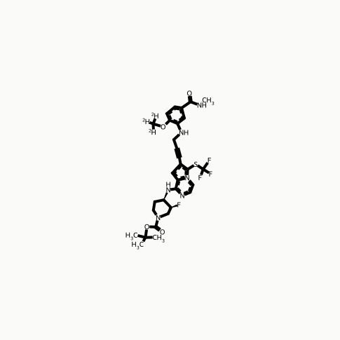 [2H]C([2H])([2H])Oc1ccc(C(=O)NC)cc1NCC#Cc1cc2c(N[C@@H]3CCN(C(=O)OC(C)(C)C)C[C@@H]3F)nccn2c1SC(F)(F)F